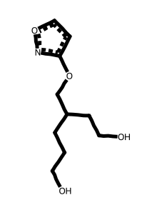 OCCCC(CCO)COc1ccon1